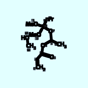 C=CC(=O)OC(C)O[Si](CCC)(OC)OC.CO